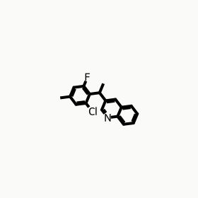 Cc1cc(F)c(C(C)c2cnc3ccccc3c2)c(Cl)c1